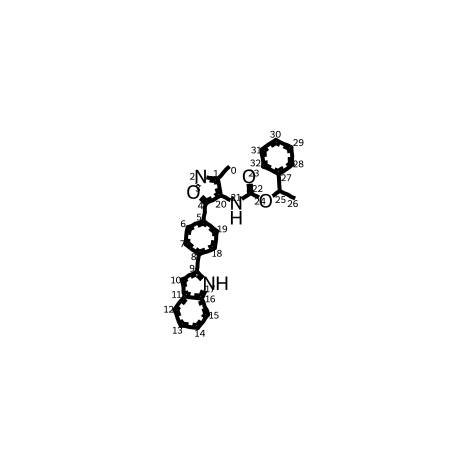 Cc1noc(-c2ccc(-c3cc4ccccc4[nH]3)cc2)c1NC(=O)OC(C)c1ccccc1